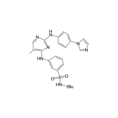 Cc1cnc(Nc2ccc(-n3ccnc3)cc2)nc1Nc1cccc(S(=O)(=O)NC(C)(C)C)c1